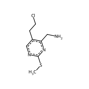 CSc1ncc(CCCl)c(CN)n1